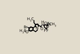 CCCc1cc(C(=O)N[C@@](C)(CC(F)(F)F)C(=O)OC)n2c1-c1cc(Br)c(OC)cc1CC2